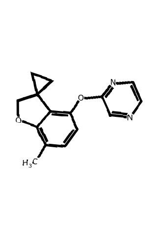 Cc1ccc(Oc2cnccn2)c2c1OCC21CC1